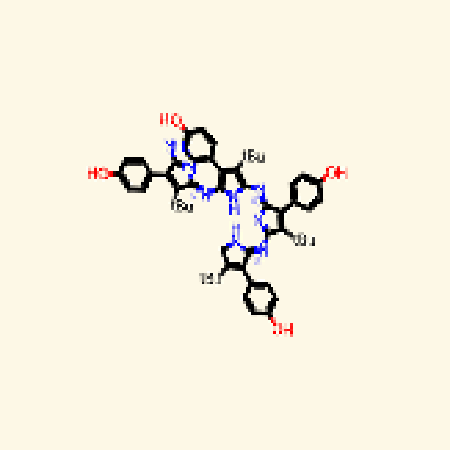 CC(C)(C)C1=C(c2ccc(O)cc2)/C(=N/C2=NC(=N\c3[nH]c(/N=C4\N=C(N)C(c5ccc(O)cc5)=C4C(C)(C)C)c(-c4ccc(O)cc4)c3C(C)(C)C)/C(c3ccc(O)cc3)=C2C(C)(C)C)NC1